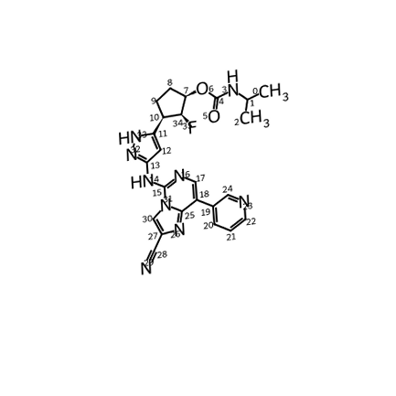 CC(C)NC(=O)O[C@@H]1CC[C@H](c2cc(Nc3ncc(-c4cccnc4)c4nc(C#N)cn34)n[nH]2)[C@@H]1F